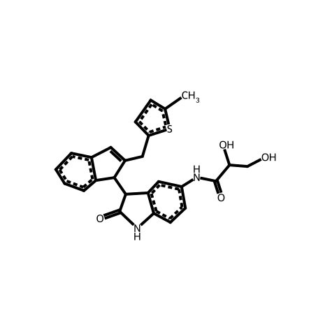 Cc1ccc(CC2=Cc3ccccc3C2C2C(=O)Nc3ccc(NC(=O)C(O)CO)cc32)s1